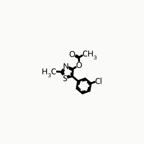 CC(=O)Oc1nc(C)sc1-c1cccc(Cl)c1